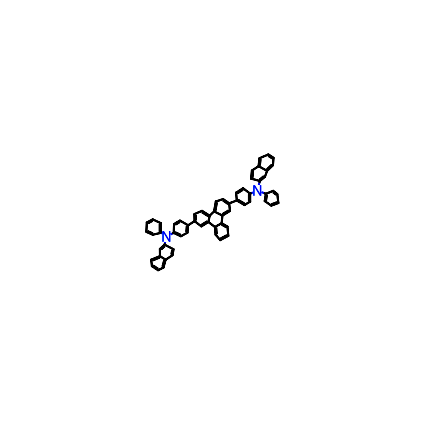 c1ccc(N(c2ccc(-c3ccc4c5ccc(-c6ccc(N(c7ccccc7)c7ccc8ccccc8c7)cc6)cc5c5ccccc5c4c3)cc2)c2ccc3ccccc3c2)cc1